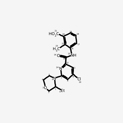 CCC1COCCN1c1cc(Cl)cc(C(=O)Nc2cccc(C(=O)O)c2C)n1